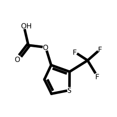 O=C(O)Oc1ccsc1C(F)(F)F